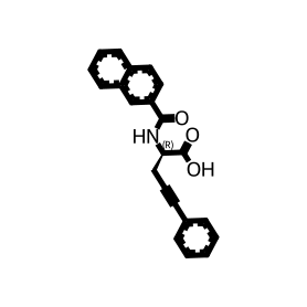 O=C(N[C@H](CC#Cc1ccccc1)C(=O)O)c1ccc2ccccc2c1